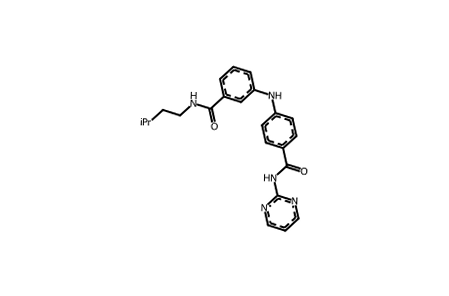 CC(C)CCNC(=O)c1cccc(Nc2ccc(C(=O)Nc3ncccn3)cc2)c1